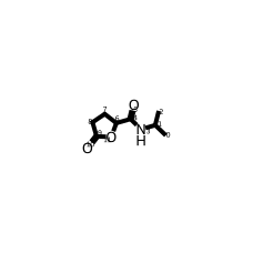 CC(C)NC(=O)C1CCC(=O)O1